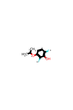 CC(C)Oc1ccc(F)c(O)c1F